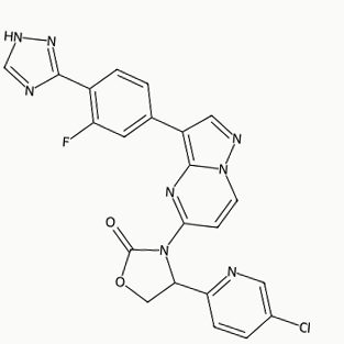 O=C1OCC(c2ccc(Cl)cn2)N1c1ccn2ncc(-c3ccc(-c4nc[nH]n4)c(F)c3)c2n1